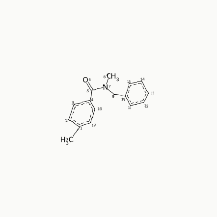 Cc1ccc(C(=O)N(C)Cc2ccccc2)cc1